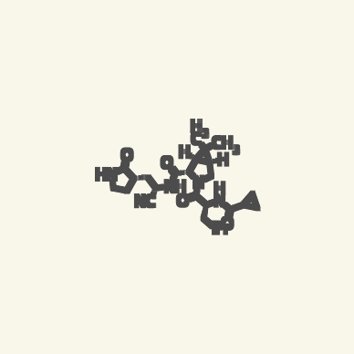 CC(C)C[C@H](NC(=O)C1CC1)C(=O)N1C[C@H]2[C@@H]([C@H]1C(=O)N[C@H](C#N)C[C@@H]1CCNC1=O)C2(C)C